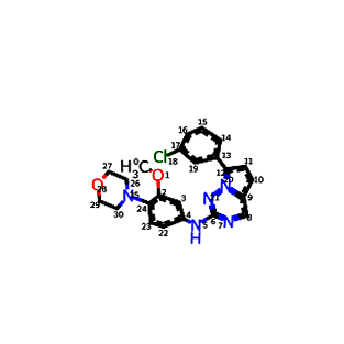 COc1cc(Nc2ncc3ccc(-c4cccc(Cl)c4)n3n2)ccc1N1CCOCC1